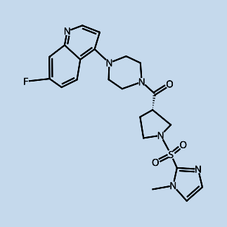 Cn1ccnc1S(=O)(=O)N1CC[C@H](C(=O)N2CCN(c3ccnc4cc(F)ccc34)CC2)C1